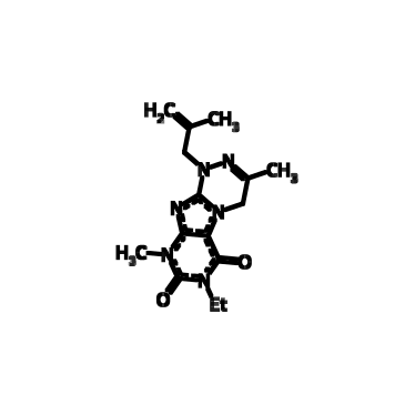 C=C(C)CN1N=C(C)Cn2c1nc1c2c(=O)n(CC)c(=O)n1C